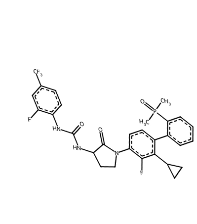 CP(C)(=O)c1ccccc1-c1ccc(N2CCC(NC(=O)Nc3ccc(C(F)(F)F)cc3F)C2=O)c(F)c1C1CC1